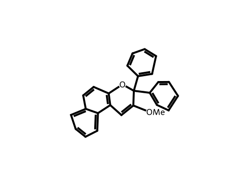 COC1=Cc2c(ccc3ccccc23)OC1(c1ccccc1)c1ccccc1